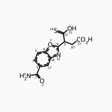 NC(=O)c1ccc2oc(C(CC(=O)O)C(O)=S)nc2c1